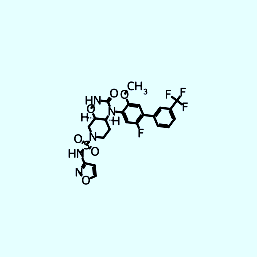 COc1cc(-c2cccc(C(F)(F)F)c2)c(F)cc1N1C(=O)NO[C@@H]2CN(S(=O)(=O)Nc3ccon3)CC[C@@H]21